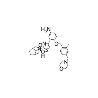 Cc1cc(CN2CCOCC2)ccc1COc1ccc(N)cc1-c1csc(N2CC3CCC(C2)C3C(=O)O)n1